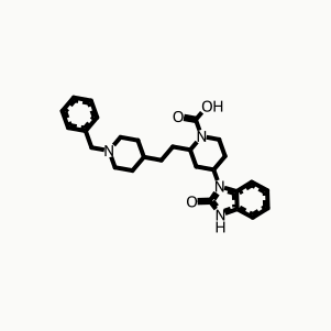 O=C(O)N1CCC(n2c(=O)[nH]c3ccccc32)CC1CCC1CCN(Cc2ccccc2)CC1